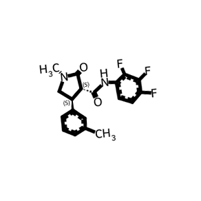 Cc1cccc([C@H]2CN(C)C(=O)[C@@H]2C(=O)Nc2ccc(F)c(F)c2F)c1